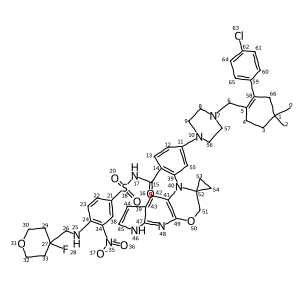 CC1(C)CCC(CN2CCN(c3ccc(C(=O)NS(=O)(=O)c4ccc(NCC5(F)CCOCC5)c([N+](=O)[O-])c4)c(N4c5cc6cc[nH]c6nc5OCC45CC5)c3)CC2)=C(c2ccc(Cl)cc2)C1